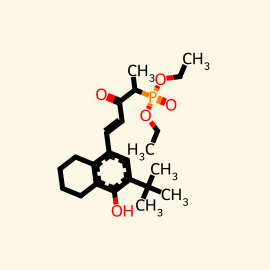 CCOP(=O)(OCC)C(C)C(=O)C=Cc1cc(C(C)(C)C)c(O)c2c1CCCC2